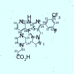 C[C@@H]1CC[C@@H](C)N1Cc1sc(Nc2nccc(N3CCN(CCC(=O)O)CC3)c2F)nc1-c1cc(F)cc(C(F)(F)F)c1